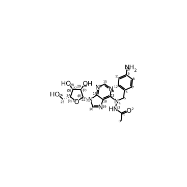 CC(=O)NN(Cc1ccc(N)cc1)c1ncnc2c1ncn2[C@@H]1O[C@H](CO)[C@@H](O)[C@H]1O